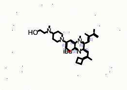 C=C(C)/C(C)=C/C(=N\C)C(=C/C(C)=C1CCC1)/N=C(\C(C)=C/C(=C\C)N1CCC(N(C)CCO)CC1)C(C)CC